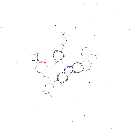 CC(C)C[Si](CC(C)C)(CC(C)C)c1ccc2c3ccc([Si](CC(C)C)(CC(C)C)CC(C)C)cc3n(-c3cc(C(C)(C)CC(C)(C)C)cc(B4OC(C)(C)C(C)(C)O4)c3OC3CCCCO3)c2c1